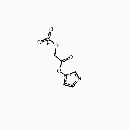 O=C(CO[SH](=O)=O)On1ccnc1